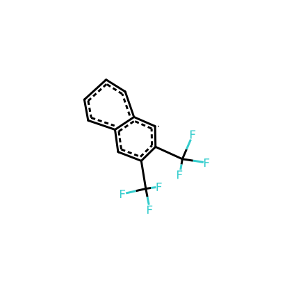 FC(F)(F)c1[c]c2ccccc2cc1C(F)(F)F